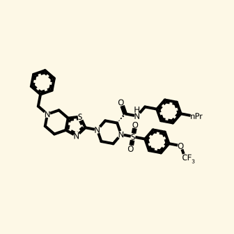 CCCc1ccc(CNC(=O)[C@H]2CN(c3nc4c(s3)CN(Cc3ccccc3)CC4)CCN2S(=O)(=O)c2ccc(OC(F)(F)F)cc2)cc1